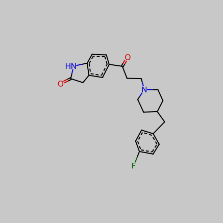 O=C1Cc2cc(C(=O)CCN3CCC(Cc4ccc(F)cc4)CC3)ccc2N1